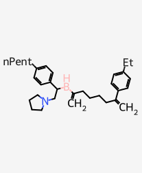 C=C(BC(CN1CCCC1)c1ccc(CCCCC)cc1)CCCCC(=C)c1ccc(CC)cc1